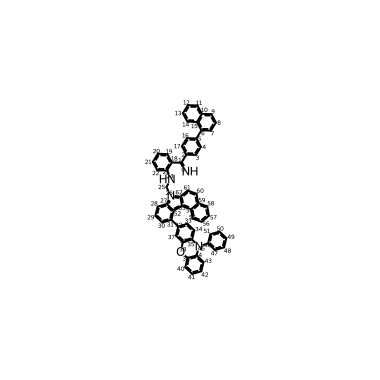 N=C(c1ccc(-c2cccc3ccccc23)cc1)c1ccccc1NCn1c2cccc(-c3ccc4c(c3)Oc3ccccc3N4c3ccccc3)c2c2c3ccccc3ccc21